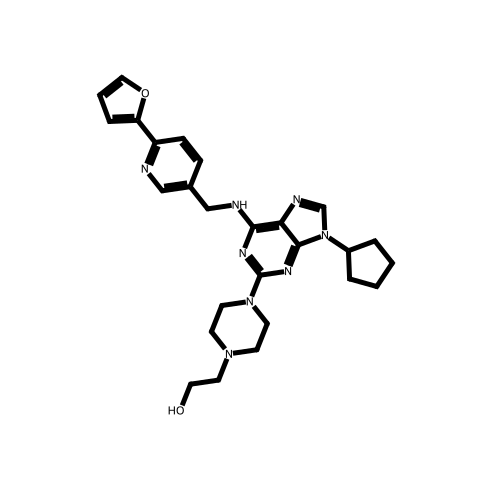 OCCN1CCN(c2nc(NCc3ccc(-c4ccco4)nc3)c3ncn(C4CCCC4)c3n2)CC1